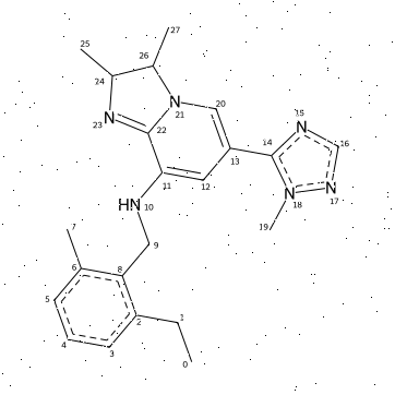 CCc1cccc(C)c1CNC1=CC(c2ncnn2C)=CN2C1=NC(C)C2C